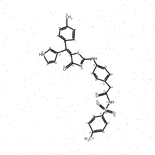 Cc1ccc(C(=C2SC(Nc3ccc(CC(=O)NS(=O)(=O)c4ccc(C)cc4)cc3)=NC2=O)c2cc[nH]c2)cc1